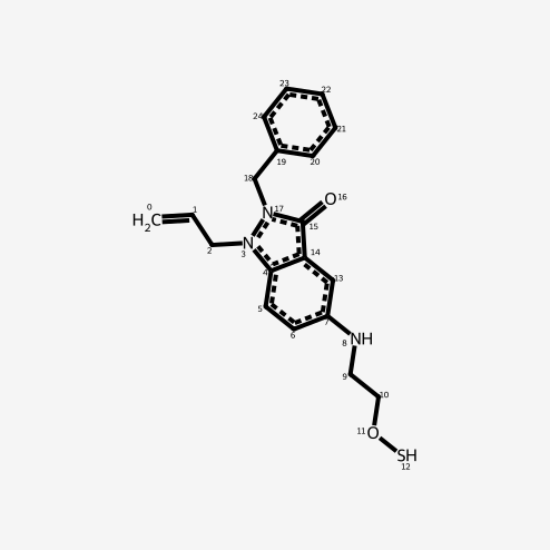 C=CCn1c2ccc(NCCOS)cc2c(=O)n1Cc1ccccc1